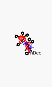 C=CCO[C@H]1O[C@H](CO[C@@H]2O[C@H](COCc3ccccc3)[C@@H](OP(=O)(OCc3ccccc3)OCc3ccccc3)[C@H](OCc3ccccc3)[C@@H]2N)[C@@H](OCc2ccccc2)[C@H](OCc2ccccc2)[C@@H]1NC(=O)C[C@@H](CCCCCCCCCCC)OCc1ccccc1